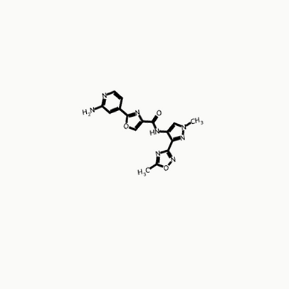 Cc1nc(-c2nn(C)cc2NC(=O)c2coc(-c3ccnc(N)c3)n2)no1